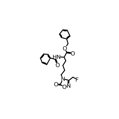 O=C(NC(CCCCn1c(CF)noc1=O)C(=O)OCc1ccccc1)c1ccccc1